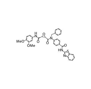 COc1ccc(NC(=O)[C@H]2OC2C(=O)N(Cc2ccccc2)c2ccc(C(=O)Nc3nc4ccccc4s3)cc2)cc1OC